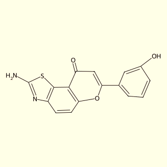 Nc1nc2ccc3oc(-c4cccc(O)c4)cc(=O)c3c2s1